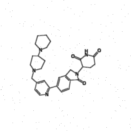 O=C1CCC(N2Cc3cc(-c4cc(CN5CCC(N6CCCCC6)CC5)ccn4)ccc3C2=O)C(=O)N1